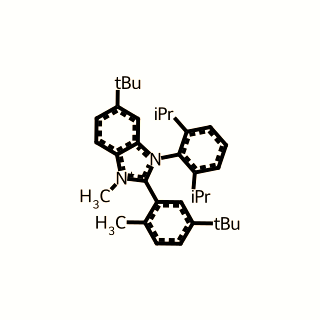 Cc1ccc(C(C)(C)C)cc1-c1n(-c2c(C(C)C)cccc2C(C)C)c2cc(C(C)(C)C)ccc2[n+]1C